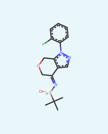 CC(C)(C)[S@+]([O-])N=C1COCc2c1cnn2-c1ccccc1F